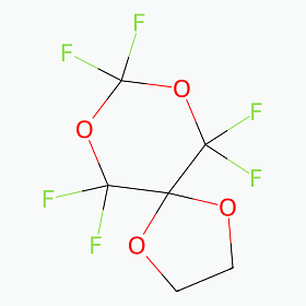 FC1(F)OC(F)(F)C2(OCCO2)C(F)(F)O1